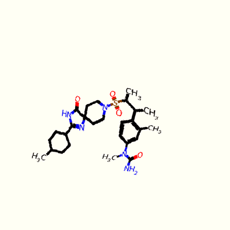 Cc1cc(N(C)C(N)=O)ccc1C(C)C(C)S(=O)(=O)N1CCC2(CC1)N=C(C1CCC(C)CC1)NC2=O